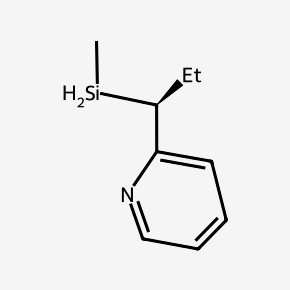 CC[C@H]([SiH2]C)c1ccccn1